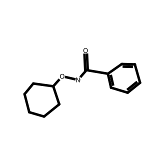 O=C([N]OC1CCCCC1)c1ccccc1